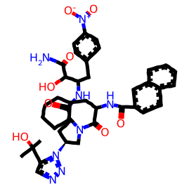 CC(C)(O)c1cnnn1[C@H]1C[C@@H](C(=O)NC(Cc2ccc([N+](=O)[O-])cc2)C(O)C(N)=O)N(C(=O)C(CC2CCCCC2)NC(=O)c2ccc3ccccc3c2)C1